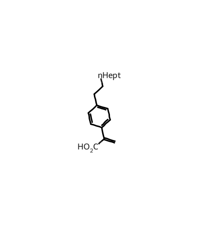 C=C(C(=O)O)c1ccc(CCCCCCCCC)cc1